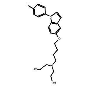 OCCN(CCO)CCCCOc1ccc2c(ccn2-c2ccc(F)cc2)c1